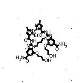 CCn1nc(C)cc1C(=O)Nc1nc2cc(C(N)=O)cc(OCCCO)c2n1CCCCn1c(NC(=O)c2cc(C)nn2CC)nc2cc(C(N)=O)cc(OCCCO)c21